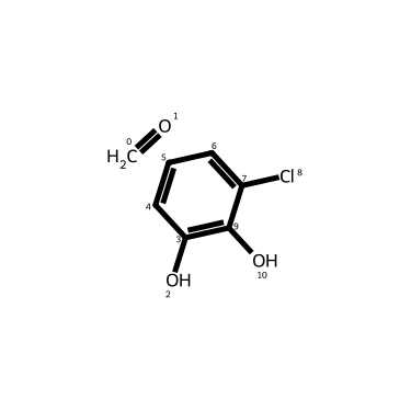 C=O.Oc1cccc(Cl)c1O